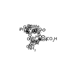 CC[C@H](C)[C@@H]([C@@H](CC(=O)N1CCC[C@H]1[C@H](OC)[C@@H](C)C(=O)N[C@H](C)[C@@H](O)c1ccccc1)OC)N(C)C(=O)[C@@H](NC(=O)[C@H](C(C)C)N(C)C(=O)OCc1ccc(NC(=O)C(CCCNC(N)=O)NC(=O)[C@@H](NC(=O)CO/N=C/c2cc(C[C@H](NC)C(=O)O)ccc2O)C(C)C)cc1)C(C)C